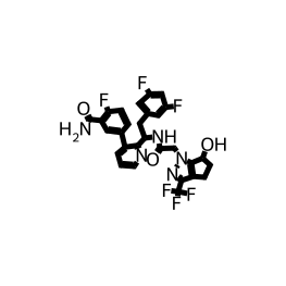 NC(=O)c1cc(-c2cccnc2C(Cc2cc(F)cc(F)c2)NC(=O)Cn2nc(C(F)(F)F)c3c2C(O)CC3)ccc1F